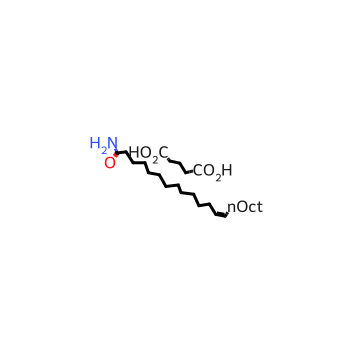 CCCCCCCC/C=C\CCCCCCCCCCCC(N)=O.O=C(O)CCCC(=O)O